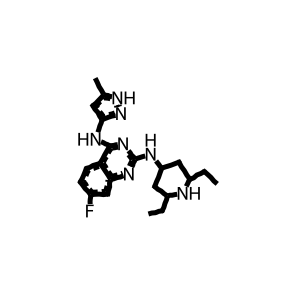 CCC1CC(Nc2nc(Nc3cc(C)[nH]n3)c3ccc(F)cc3n2)CC(CC)N1